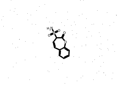 NS(=O)(=O)C1C=Cc2ccccc2OC1=O